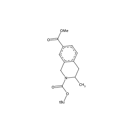 COC(=O)c1ccc2c(c1)CN(C(=O)OC(C)(C)C)C(C)C2